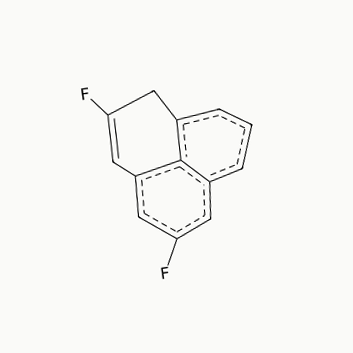 FC1=Cc2cc(F)cc3cccc(c23)C1